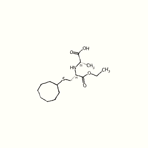 CCOC(=O)[C@H](CSC1CCCCCCC1)N[C@@H](C)C(=O)O